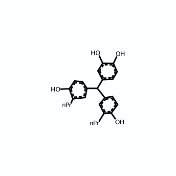 CCCc1cc(C(c2ccc(O)c(O)c2)c2ccc(O)c(CCC)c2)ccc1O